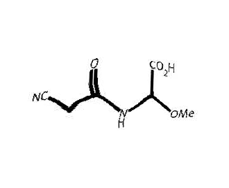 COC(NC(=O)CC#N)C(=O)O